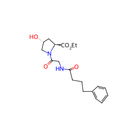 CCOC(=O)[C@@H]1C[C@@H](O)CN1C(=O)CNC(=O)CCCc1ccccc1